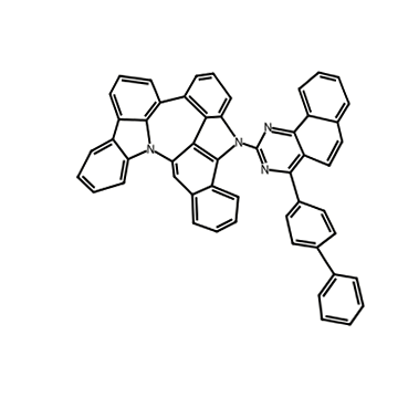 c1ccc(-c2ccc(-c3nc(-n4c5cccc6c7cccc8c9ccccc9n(c9cc%10ccccc%10c4c9c65)c78)nc4c3ccc3ccccc34)cc2)cc1